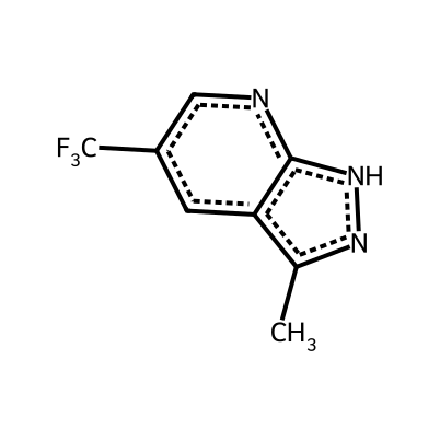 Cc1n[nH]c2ncc(C(F)(F)F)cc12